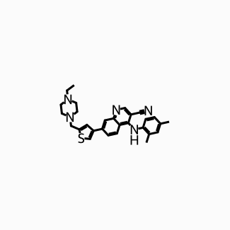 CCN1CCN(Cc2cc(-c3ccc4c(Nc5ccc(C)cc5C)c(C#N)cnc4c3)cs2)CC1